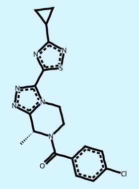 C[C@@H]1c2nnc(-c3nc(C4CC4)ns3)n2CCN1C(=O)c1ccc(Cl)cc1